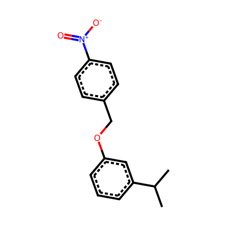 CC(C)c1cccc(OCc2ccc([N+](=O)[O-])cc2)c1